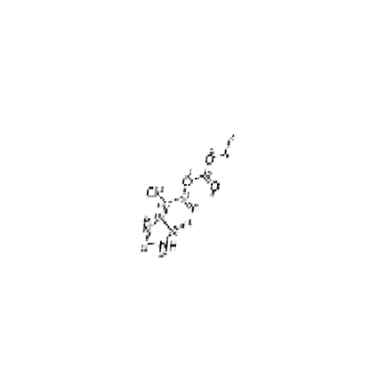 CCOC(=O)Oc1ccc2[nH]cnc2c1Cl